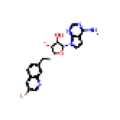 Nc1ncnc2c1ccn2[C@@H]1O[C@H](CCc2ccc3cc(Br)cnc3c2)[C@@H](O)[C@H]1O